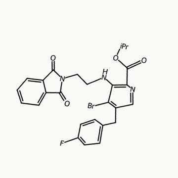 CC(C)OC(=O)c1ncc(Cc2ccc(F)cc2)c(Br)c1NCCN1C(=O)c2ccccc2C1=O